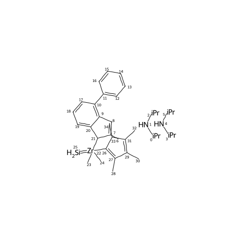 CC(C)NC(C)C.CC(C)NC(C)C.CC1=Cc2c(-c3ccccc3)cccc2[CH]1[Zr]([CH3])([CH3])(=[SiH2])[C]1=C(C)C(C)=C(C)C1C